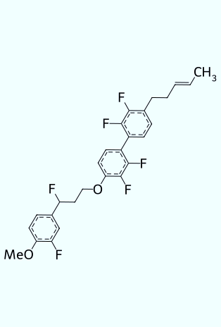 C/C=C/CCc1ccc(-c2ccc(OCCC(F)c3ccc(OC)c(F)c3)c(F)c2F)c(F)c1F